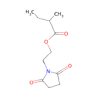 CCC(C)C(=O)OCCN1C(=O)CCC1=O